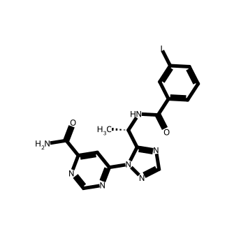 C[C@H](NC(=O)c1cccc(I)c1)c1ncnn1-c1cc(C(N)=O)ncn1